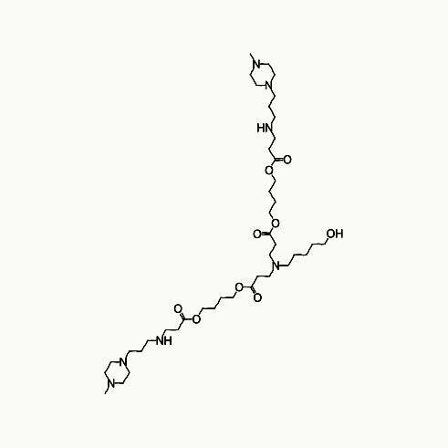 CN1CCN(CCCNCCC(=O)OCCCCOC(=O)CCN(CCCCCO)CCC(=O)OCCCCOC(=O)CCNCCCN2CCN(C)CC2)CC1